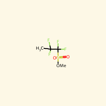 COS(=O)(=O)C(F)(F)C(C)(F)F